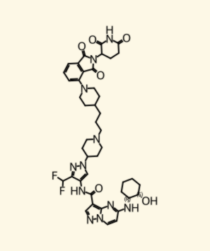 O=C1CCC(N2C(=O)c3cccc(N4CCC(CCCN5CCC(n6cc(NC(=O)c7cnn8ccc(N[C@@H]9CCCC[C@@H]9O)nc78)c(C(F)F)n6)CC5)CC4)c3C2=O)C(=O)N1